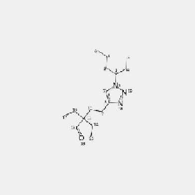 CCCC(CC)n1cc(CCC(C=O)(CC)CC)nn1